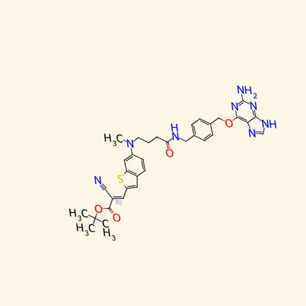 CN(CCCC(=O)NCc1ccc(COc2nc(N)nc3[nH]cnc23)cc1)c1ccc2cc(/C=C(\C#N)C(=O)OC(C)(C)C)sc2c1